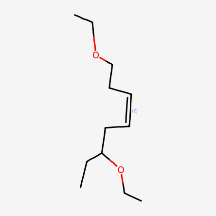 CCOCC/C=C\CC(CC)OCC